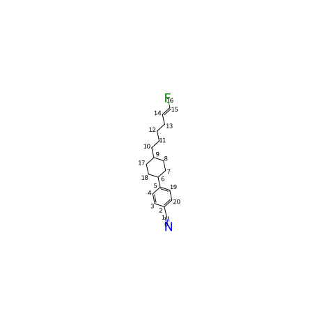 N#Cc1ccc(C2CCC(CCCC/C=C/F)CC2)cc1